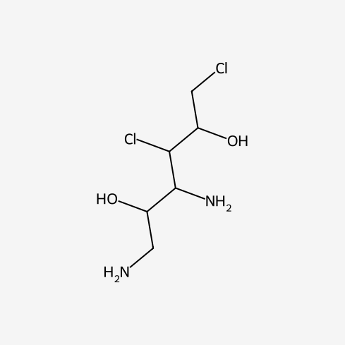 NCC(O)C(N)C(Cl)C(O)CCl